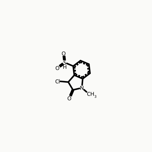 CN1C(=O)C(Cl)c2c1cccc2[SH](=O)=O